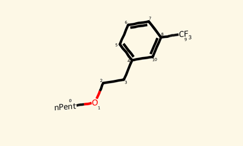 [CH2]CCCCOCCc1cccc(C(F)(F)F)c1